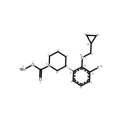 CC(C)(C)OC(=O)N1CCC[C@H](c2cccc(F)c2OCC2CC2)C1